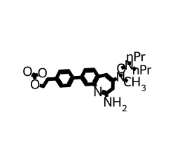 CCCN(CCC)ON(C)C1=Cc2ccc(-c3ccc(C4COC(=O)O4)cc3)cc2N=C(N)C1